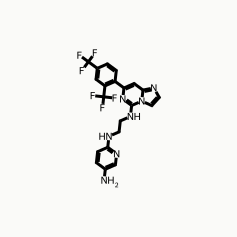 Nc1ccc(NCCNc2nc(-c3ccc(C(F)(F)F)cc3C(F)(F)F)cc3nccn23)nc1